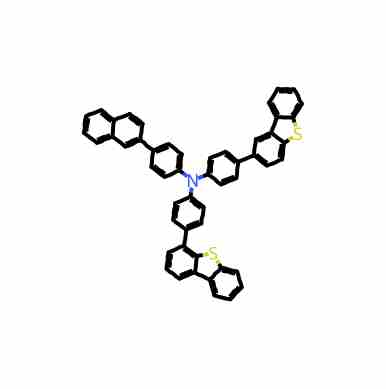 c1ccc2cc(-c3ccc(N(c4ccc(-c5ccc6sc7ccccc7c6c5)cc4)c4ccc(-c5cccc6c5sc5ccccc56)cc4)cc3)ccc2c1